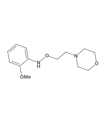 COc1ccccc1NOCCN1CCOCC1